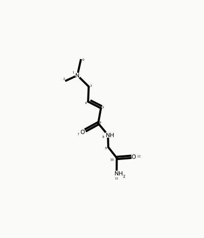 CN(C)CC=CC(=O)NCC(N)=O